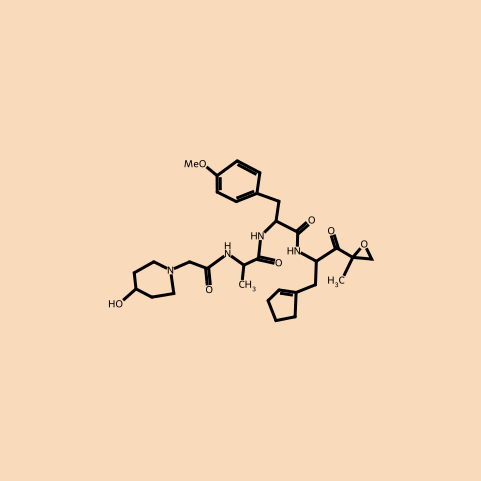 COc1ccc(CC(NC(=O)C(C)NC(=O)CN2CCC(O)CC2)C(=O)NC(CC2=CCCC2)C(=O)C2(C)CO2)cc1